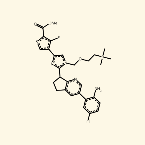 COC(=O)c1scc(-c2cn(COCC[Si](C)(C)C)c(C3CCc4cc(-c5cc(Cl)ccc5N)cnc43)n2)c1F